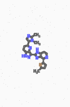 Cc1ccc(-c2nccc3[nH]c(-c4n[nH]c5ccc(-c6cnc(C)n6C)nc45)nc23)s1